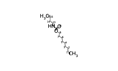 CCCCCCCCCOC(=O)NCCCC